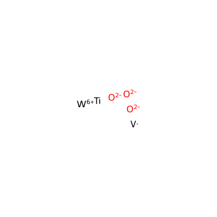 [O-2].[O-2].[O-2].[Ti].[V].[W+6]